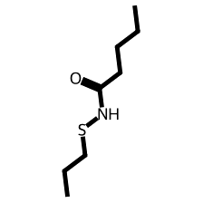 CCCCC(=O)NSCCC